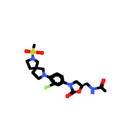 CC(=O)NC[C@H]1CN(c2ccc(N3CCC4(CCN(S(C)(=O)=O)C4)C3)c(F)c2)C(=O)O1